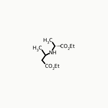 CCOC(=O)CC(C)N[C@H](C)C(=O)OCC